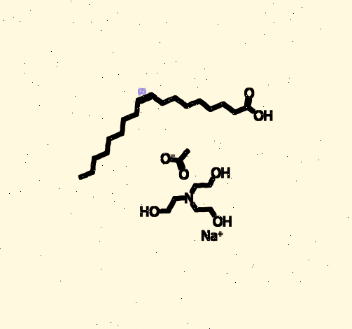 CC(=O)[O-].CCCCCCCC/C=C\CCCCCCCC(=O)O.OCCN(CCO)CCO.[Na+]